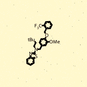 COc1cc(CN(C[CH]C(C)(C)C)c2nc3ccccc3s2)ccc1OCc1ccccc1C(F)(F)F